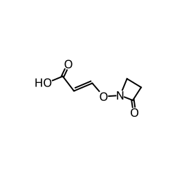 O=C(O)C=CON1CCC1=O